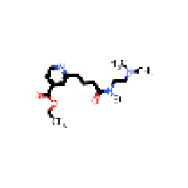 CCN(CCN(C)C)C(=O)CCCc1cc(C(=O)OCC(F)(F)F)ccn1